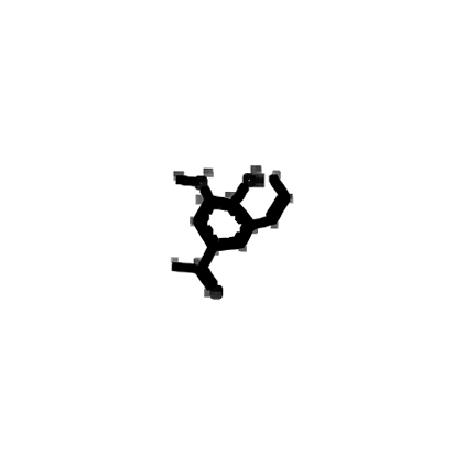 C/C=C\c1cc(C(C)=O)cc(OC)c1O